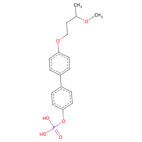 COC(C)CCOc1ccc(-c2ccc(OP(=O)(O)O)cc2)cc1